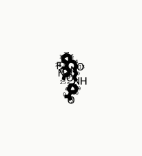 CC(=O)c1ccc(NC(=O)CN2C(=O)Cc3ccccc3-c3c2cc(C)nc3F)cc1